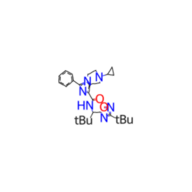 CC(C)(C)c1noc(C(NC(=O)c2nc(-c3ccccc3)n3c2CN(C2CC2)CC3)C(C)(C)C)n1